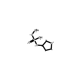 CCCCOP(=O)(O)OC1CCOC1